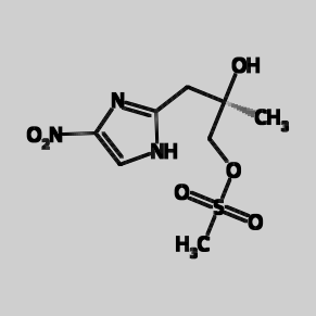 C[C@](O)(COS(C)(=O)=O)Cc1nc([N+](=O)[O-])c[nH]1